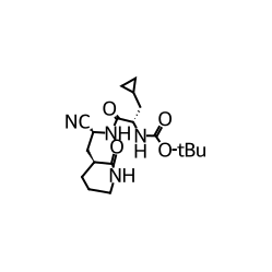 CC(C)(C)OC(=O)N[C@@H](CC1CC1)C(=O)N[C@H](C#N)C[C@@H]1CCCNC1=O